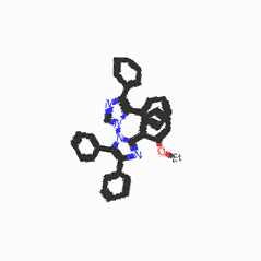 CCOc1ccccc1-c1nc(-c2ccccc2)c(-c2ccccc2)n1-n1cnc(-c2ccccc2)c1-c1ccccc1